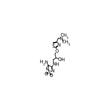 CN(C)Cc1csc(OCC(O)CNC2=NS(=O)(=O)N=C2N)n1